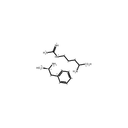 N=C(N)NCCCC(N)C(=O)O.N[C@@H](Cc1ccccc1)C(=O)O